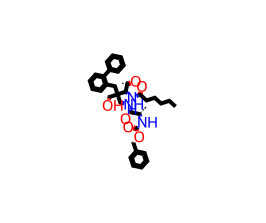 CCCCCC(=O)NC([C]=O)C(CO)(CNC(=O)[C@H](C)NC(=O)OCc1ccccc1)Cc1ccccc1-c1ccccc1